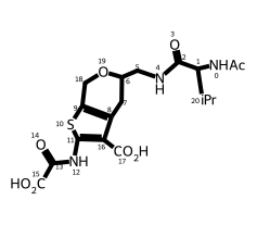 CC(=O)NC(C(=O)NCC1Cc2c(sc(NC(=O)C(=O)O)c2C(=O)O)CO1)C(C)C